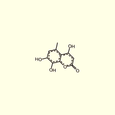 Cc1cc(O)c(O)c2oc(=O)cc(O)c12